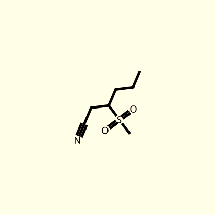 CCCC(CC#N)S(C)(=O)=O